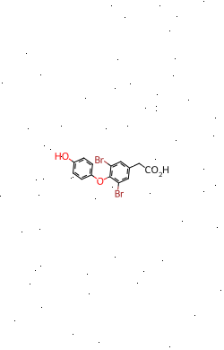 O=C(O)Cc1cc(Br)c(Oc2ccc(O)cc2)c(Br)c1